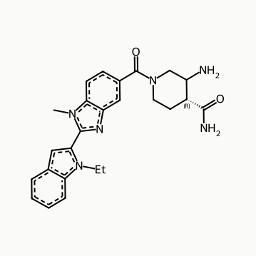 CCn1c(-c2nc3cc(C(=O)N4CC[C@@H](C(N)=O)C(N)C4)ccc3n2C)cc2ccccc21